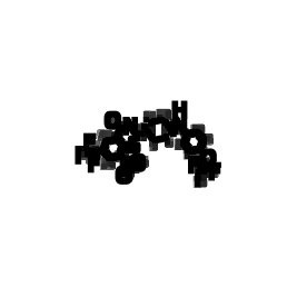 O=c1nc(N2CCN(Nc3ccc(OC(F)(F)F)cc3)CC2)sc2c([N+](=O)[O-])cc(C(F)(F)F)cc12